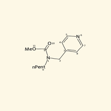 CCCCCN(Cc1ccncc1)C(=O)OC